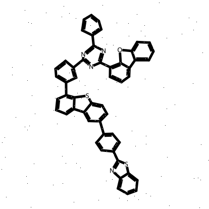 c1ccc(-c2nc(-c3cccc(-c4cccc5c4sc4ccc(-c6ccc(-c7nc8ccccc8s7)cc6)cc45)c3)nc(-c3cccc4c3oc3ccccc34)n2)cc1